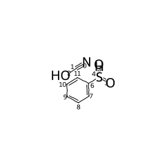 N#CO.O=[SH](=O)c1ccccc1